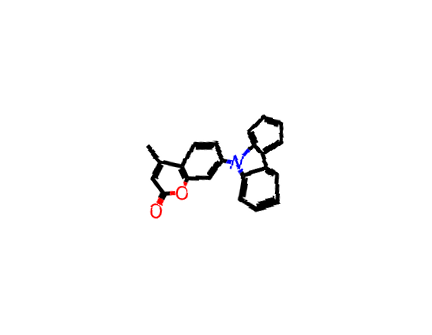 Cc1cc(=O)oc2cc(-n3c4ccccc4c4ccccc43)ccc12